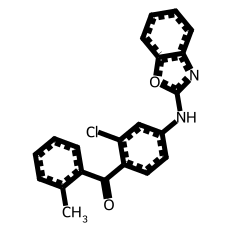 Cc1ccccc1C(=O)c1ccc(Nc2nc3ccccc3o2)cc1Cl